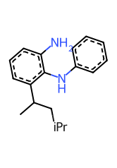 CC(C)CC(C)c1cccc(N)c1Nc1ccccc1